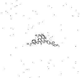 C=CC(=O)N1CCN(C(=O)c2ncnc(N)c2-c2ccc(Oc3nccc(C)n3)c(F)c2)CC1